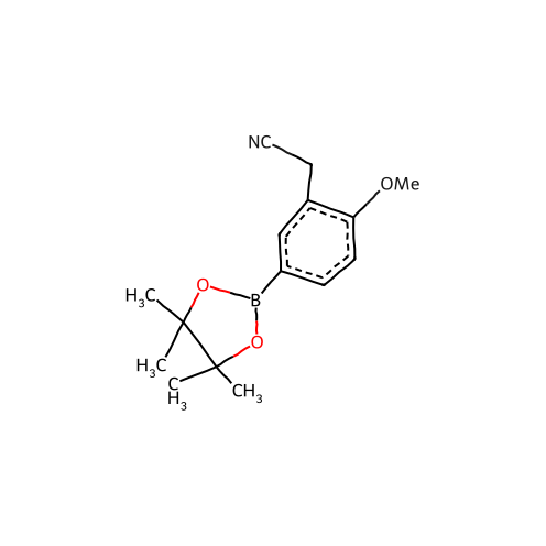 COc1ccc(B2OC(C)(C)C(C)(C)O2)cc1CC#N